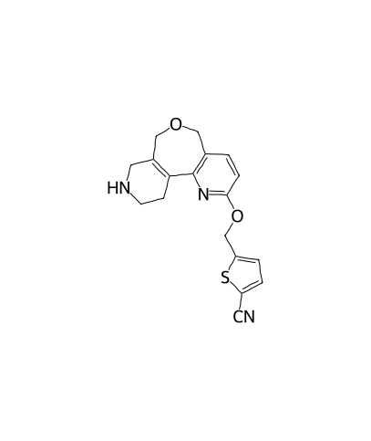 N#Cc1ccc(COc2ccc3c(n2)C2=C(CNCC2)COC3)s1